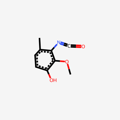 COc1c(O)ccc(C)c1N=C=O